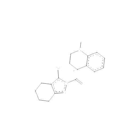 CN1CC[C@@H](C(=O)n2nc3c(c2N)CCCC3)c2ccccc21